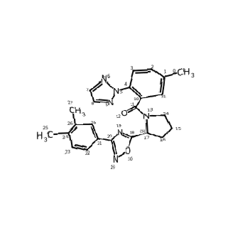 Cc1ccc(-n2nccn2)c(C(=O)N2CCC[C@H]2c2nc(-c3ccc(C)c(C)c3)no2)c1